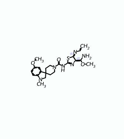 C=C/N=C1/SC(NC(=O)N2CCC3(CC2)CN(C)c2ccc(OC)cc23)=N/C1=C(/N)OC